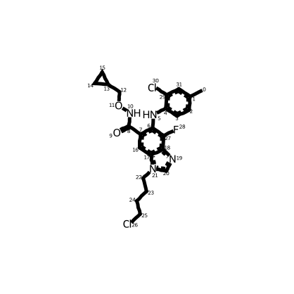 Cc1ccc(Nc2c(C(=O)NOCC3CC3)cc3c(ncn3CCCCCl)c2F)c(Cl)c1